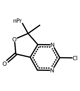 CCCC1(C)OC(=O)c2cnc(Cl)nc21